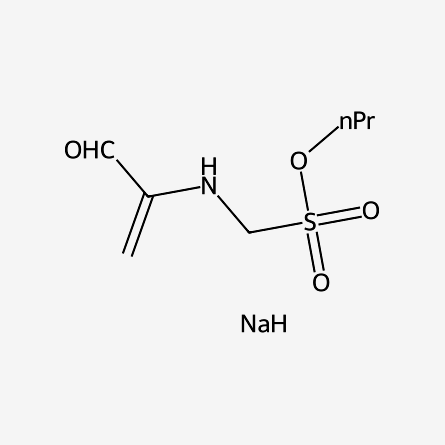 C=C(C=O)NCS(=O)(=O)OCCC.[NaH]